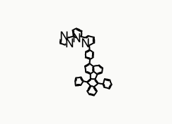 c1ccc(-c2c3c(c(-c4ccccc4)c4ccccc24)-c2ccc(-c4ccc(-c5cccc(-c6cccc(-c7ncccn7)n6)n5)cc4)c4cccc-3c24)cc1